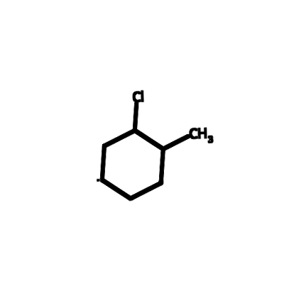 CC1CC[CH]CC1Cl